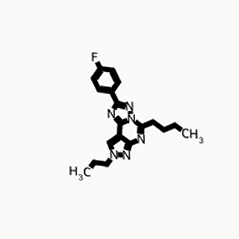 CCCCc1nc2nn(CCC)cc2c2nc(-c3ccc(F)cc3)nn12